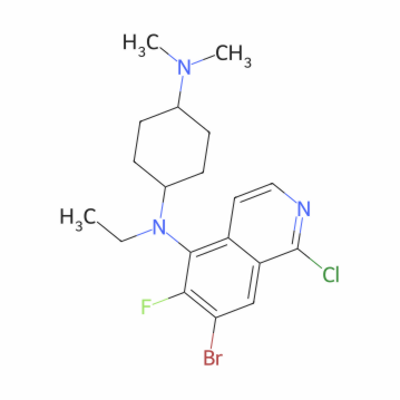 CCN(c1c(F)c(Br)cc2c(Cl)nccc12)C1CCC(N(C)C)CC1